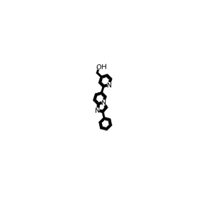 OCc1ccnc(-c2ccc3nc(-c4ccccc4)cn3c2)c1